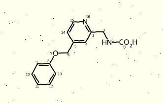 O=C(O)NCc1cc(COc2ccccc2)ccn1